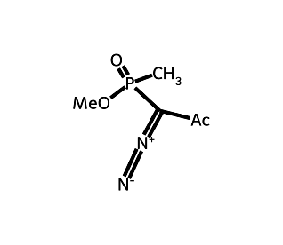 COP(C)(=O)C(=[N+]=[N-])C(C)=O